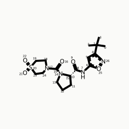 CC(C)(C)c1cc(NC(=O)[C@@H]2CCCN2C(=O)N2CCS(=O)(=O)CC2)on1